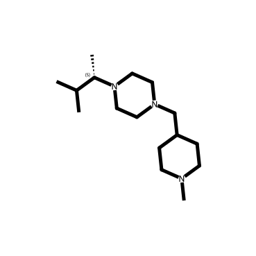 CC(C)[C@H](C)N1CCN(CC2CCN(C)CC2)CC1